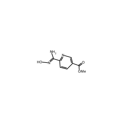 COC(=O)c1ccc(/C(N)=N/O)nc1